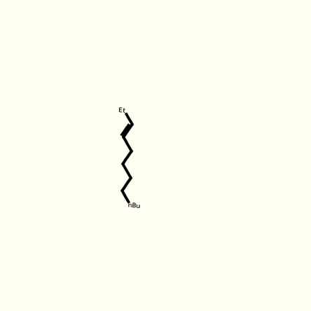 [CH2]CC=CCCCCCCC[CH2]